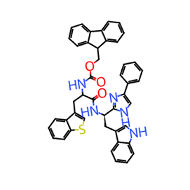 O=C(NC(Cc1csc2ccccc12)C(=O)N[C@H](Cc1c[nH]c2ccccc12)c1nc(-c2ccccc2)c[nH]1)OCC1c2ccccc2-c2ccccc21